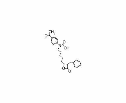 CC(=O)c1ccc(N(CCCCCC2OC(=O)C2Cc2ccccc2)C(=O)O)cc1